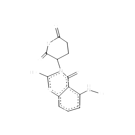 Cc1nc2cccc(NC(C)C)c2c(=O)n1C1CCC(=O)NC1=O